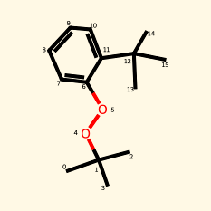 CC(C)(C)OOc1ccccc1C(C)(C)C